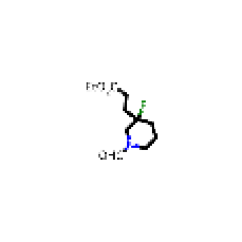 CCOC(=O)CCC1(F)CCCN(C=O)C1